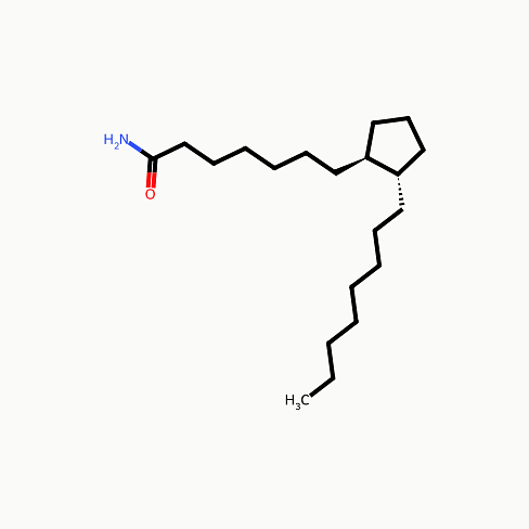 CCCCCCCC[C@H]1CCC[C@@H]1CCCCCCC(N)=O